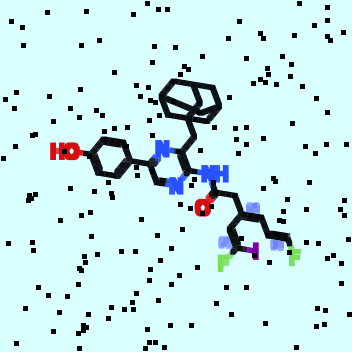 O=C(CC(/C=C(/F)I)=C/C=C/F)Nc1ncc(-c2ccc(O)cc2)nc1CC12CC3CC(CC(C3)C1)C2